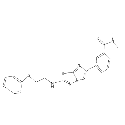 CN(C)C(=O)c1cccc(-c2cn3nc(NCCOc4ccccc4)sc3n2)c1